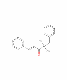 N#CC(C#N)(Cc1ccccc1)C(=O)C=Cc1ccccc1